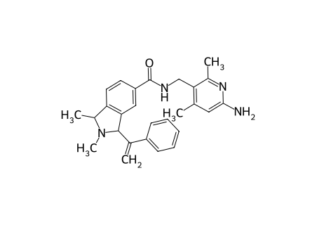 C=C(c1ccccc1)C1c2cc(C(=O)NCc3c(C)cc(N)nc3C)ccc2C(C)N1C